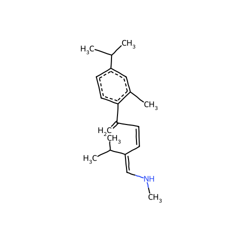 C=C(/C=C\C(=C/NC)C(C)C)c1ccc(C(C)C)cc1C